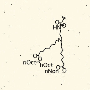 CCCCCCCCCOC(=O)CCCCCCCN(CCCCCCCC(=O)OC(CCCCCCCC)CCCCCCCC)CCCNS(=O)(=O)C1CC1